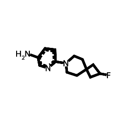 Nc1ccc(N2CCC3(CC2)CC(F)C3)nc1